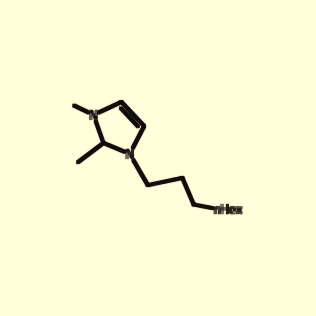 CCCCCCCCCN1C=CN(C)C1C